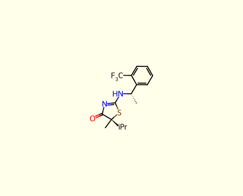 CC(C)[C@]1(C)SC(N[C@@H](C)c2ccccc2C(F)(F)F)=NC1=O